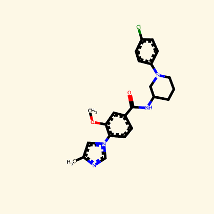 COc1cc(C(=O)NC2CCCN(c3ccc(Cl)cc3)C2)ccc1-n1cnc(C)c1